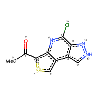 COC(=O)c1scc2c1nc(Cl)c1n[nH]cc12